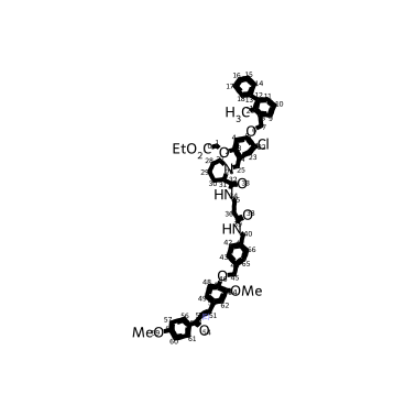 CCOC(=O)COc1cc(OCc2cccc(-c3ccccc3)c2C)c(Cl)cc1CN1CCCCC1C(=O)NCCC(=O)NCc1ccc(COc2ccc(/C=C/C(=O)c3ccc(OC)cc3)cc2OC)cc1